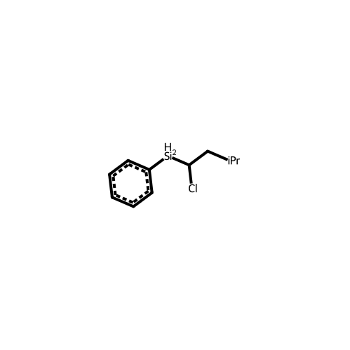 CC(C)CC(Cl)[SiH2]c1ccccc1